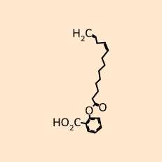 C=CC/C=C\CCCCCCCC(=O)Oc1ccccc1C(=O)O